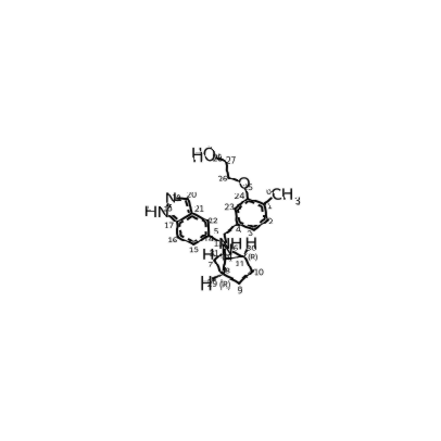 Cc1ccc(CN2C[C@H]3CC[C@@H]2[C@@H]3Nc2ccc3[nH]ncc3c2)cc1OCCO